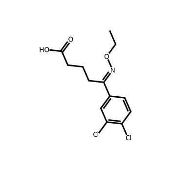 CCO/N=C(\CCCC(=O)O)c1ccc(Cl)c(Cl)c1